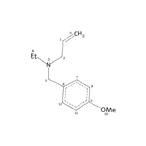 C=CCN(CC)Cc1ccc(OC)cc1